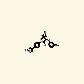 COc1cccc(NC2C(=O)N(c3ccc(-c4cn[nH]c4)cc3)CC23CN(C)C3)c1